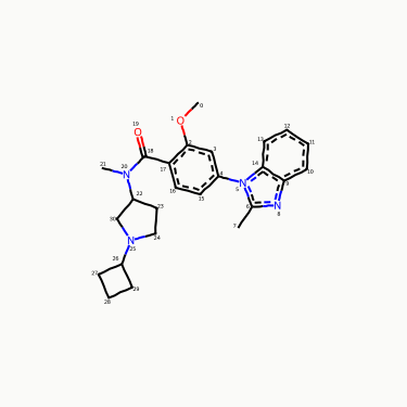 COc1cc(-n2c(C)nc3ccccc32)ccc1C(=O)N(C)C1CCN(C2CCC2)C1